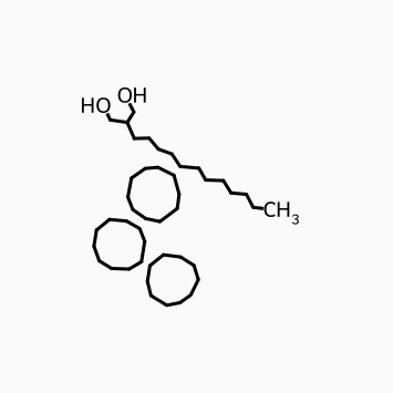 C1CCCCCCCCC1.C1CCCCCCCCC1.C1CCCCCCCCC1.CCCCCCCCCCCCC(CO)CO